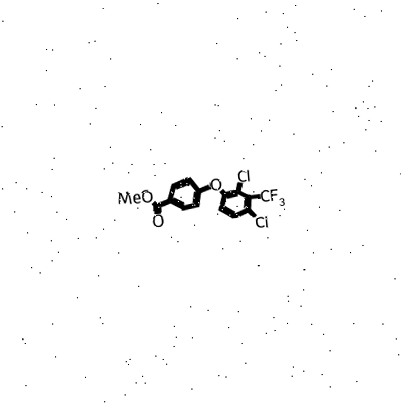 COC(=O)c1ccc(Oc2ccc(Cl)c(C(F)(F)F)c2Cl)cc1